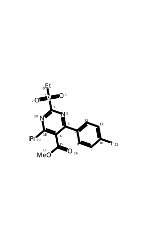 CCS(=O)(=O)c1nc(-c2ccc(F)cc2)c(C(=O)OC)c(C(C)C)n1